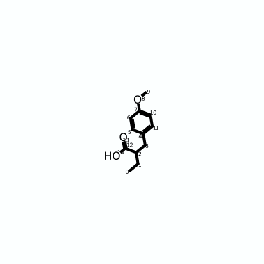 CCC(Cc1ccc(OC)cc1)C(=O)O